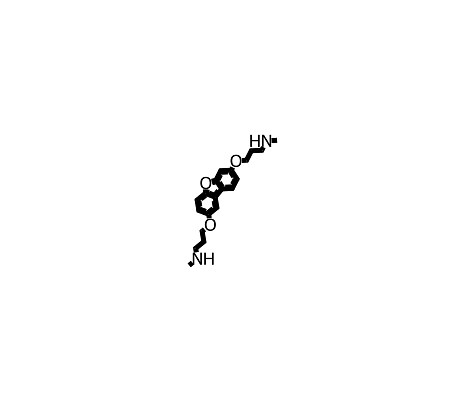 CNCCCOc1ccc2c(c1)oc1ccc(OCCCNC)cc12